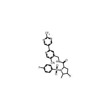 CC1C(F)CC(C(=O)NCc2cc(-c3cnc(C(F)(F)F)nc3)ncc2C#N)N1S(=O)(=O)c1ccc(F)cc1